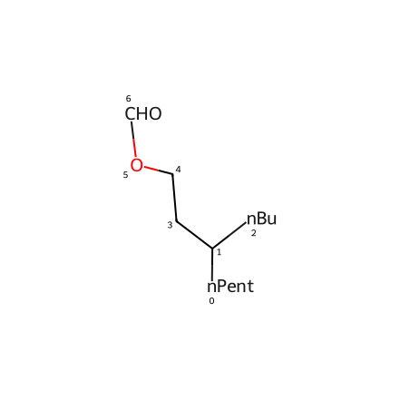 CCCCCC(CCCC)CCOC=O